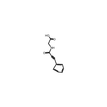 O=C(O)CNC(=O)C#Cc1ccccc1